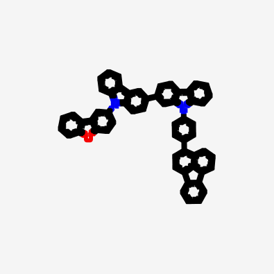 c1ccc2c(c1)-c1cccc3c(-c4ccc(-n5c6ccccc6c6ccc(-c7ccc8c(c7)c7ccccc7n8-c7ccc8oc9ccccc9c8c7)cc65)cc4)ccc-2c13